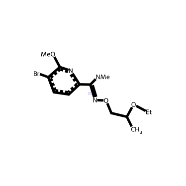 CCOC(C)CO/N=C(\NC)c1ccc(Br)c(OC)n1